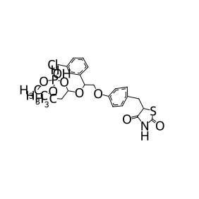 CCC(OC(COc1ccc(CC2SC(=O)NC2=O)cc1)c1cccc(Cl)c1)O[PH](O)(OC)OC